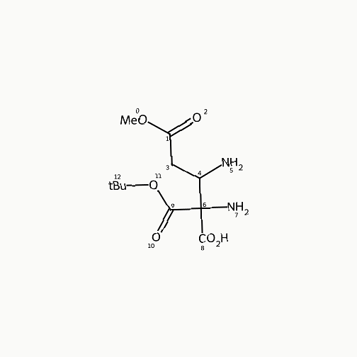 COC(=O)CC(N)C(N)(C(=O)O)C(=O)OC(C)(C)C